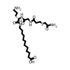 NCCC[C@H](NC(=O)CNC(=O)CCSCC(N)=O)C(=O)NCCCCCCCCCCCC(=O)O